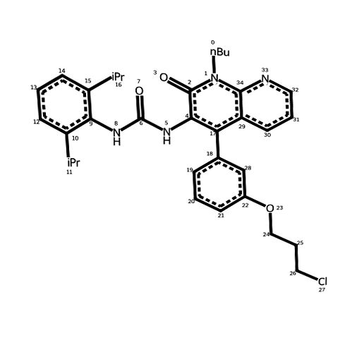 CCCCn1c(=O)c(NC(=O)Nc2c(C(C)C)cccc2C(C)C)c(-c2cccc(OCCCCl)c2)c2cccnc21